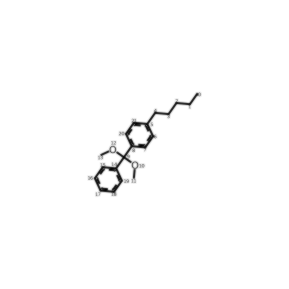 [CH2]CCCCc1ccc(C(OC)(OC)c2ccccc2)cc1